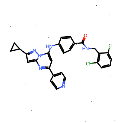 O=C(NCc1c(Cl)cccc1Cl)c1ccc(Nc2cc(-c3ccncc3)nc3cc(C4CC4)nn23)cc1